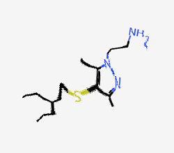 CCC(CC)CSc1c(C)nn(CCN)c1C